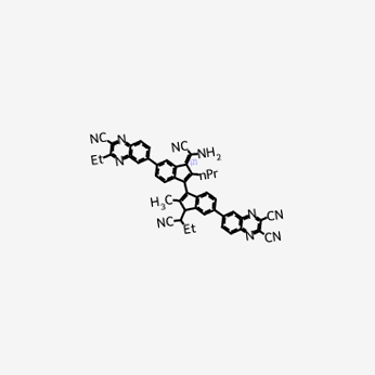 CCCC1=C(C2=C(C)C(C(C#N)CC)c3cc(-c4ccc5nc(C#N)c(C#N)nc5c4)ccc32)c2ccc(-c3ccc4nc(C#N)c(CC)nc4c3)cc2/C1=C(/N)C#N